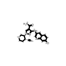 N#C[C@@H]1CCOC[C@H]1n1cc(C(N)=O)c(Nc2cnc3cc(Cl)ccc3c2)n1